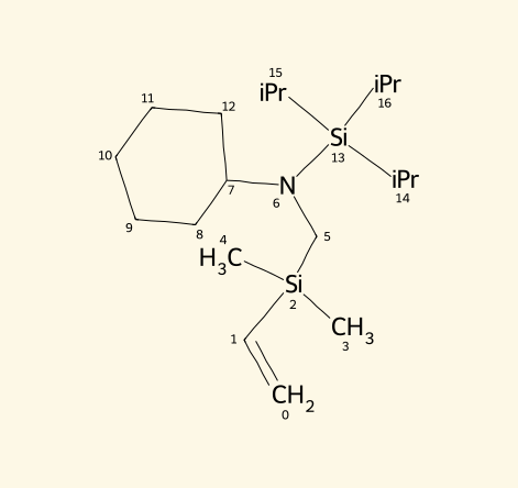 C=C[Si](C)(C)CN(C1CCCCC1)[Si](C(C)C)(C(C)C)C(C)C